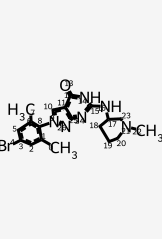 Cc1cc(Br)cc(C)c1-n1cc2c(=O)[nH]c(NC3CCCN(C)C3)nc2n1